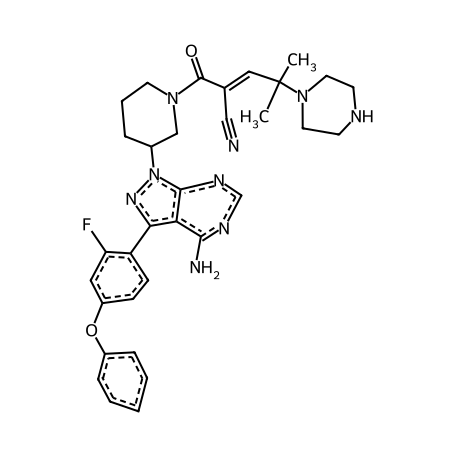 CC(C)(C=C(C#N)C(=O)N1CCCC(n2nc(-c3ccc(Oc4ccccc4)cc3F)c3c(N)ncnc32)C1)N1CCNCC1